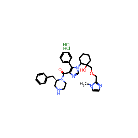 Cl.Cl.Cn1ccnc1COCC1(O)CCCCC1n1cnc(C(=O)N2CCNC[C@H]2Cc2ccccc2)c1-c1ccccc1